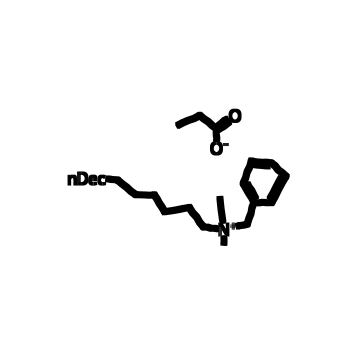 CCC(=O)[O-].CCCCCCCCCCCCCCCC[N+](C)(C)Cc1ccccc1